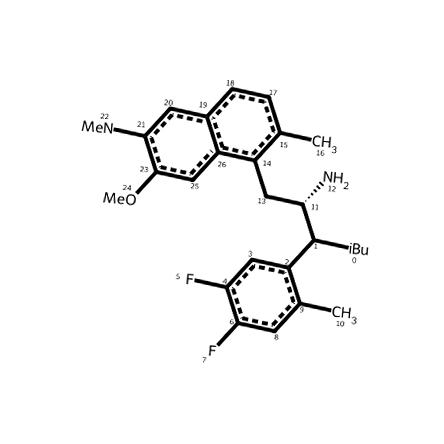 CCC(C)C(c1cc(F)c(F)cc1C)[C@@H](N)Cc1c(C)ccc2cc(NC)c(OC)cc12